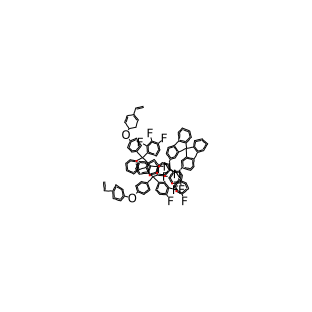 C=CC1=CCC(Oc2ccc(C3(c4ccc(F)c(F)c4F)c4ccccc4-c4ccc(N(c5ccc(F)cc5)c5ccc6c(c5)C5(c7ccccc7-c7ccc(N(c8ccc(F)cc8)c8ccc9c(c8)C(c8ccc(Oc%10ccc(C=C)cc%10)cc8)(c8ccc(F)c(F)c8F)c8ccccc8-9)cc75)c5ccccc5-6)cc43)cc2)C=C1